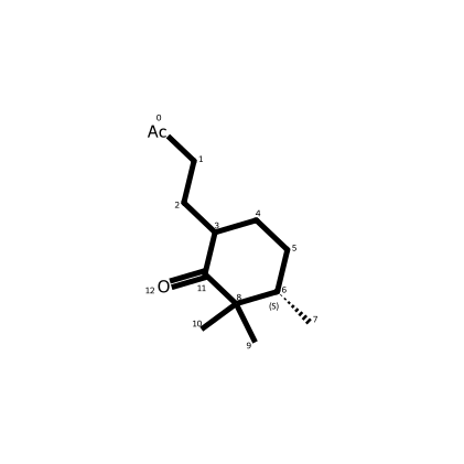 CC(=O)CCC1CC[C@H](C)C(C)(C)C1=O